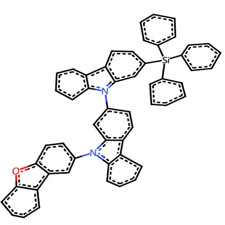 c1ccc([Si](c2ccccc2)(c2ccccc2)c2ccc3c4ccccc4n(-c4ccc5c6ccccc6n(-c6ccc7oc8ccccc8c7c6)c5c4)c3c2)cc1